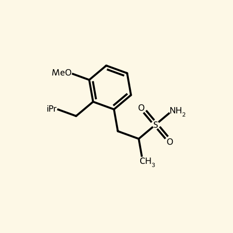 COc1cccc(CC(C)S(N)(=O)=O)c1CC(C)C